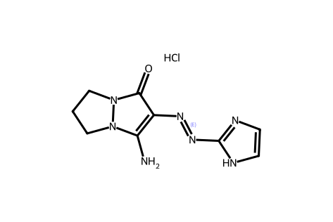 Cl.Nc1c(/N=N/c2ncc[nH]2)c(=O)n2n1CCC2